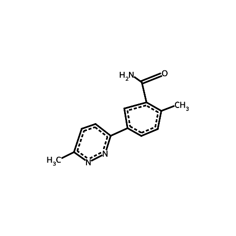 Cc1ccc(-c2ccc(C)c(C(N)=O)c2)nn1